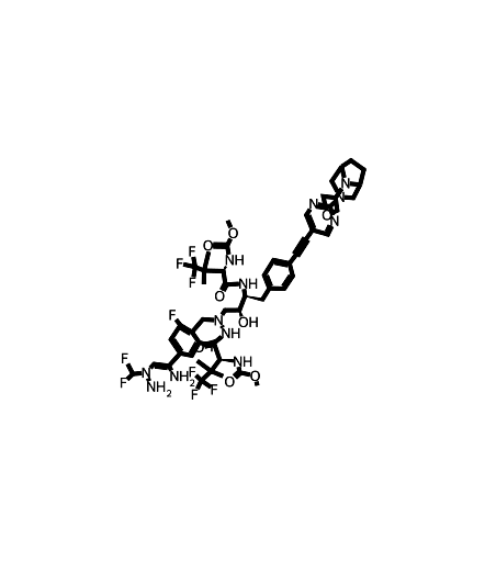 COC(=O)N[C@H](C(=O)N[C@@H](Cc1ccc(C#Cc2cnc(N3CC4CCC(C3)N4C3COC3)nc2)cc1)[C@@H](O)CN(Cc1c(F)cc(/C(N)=C/N(N)C(F)F)cc1F)NC(=O)[C@@H](NC(=O)OC)C(C)(C)C(F)(F)F)C(C)(C)C(F)(F)F